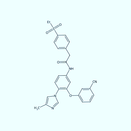 CCS(=O)(=O)c1ccc(CC(=O)Nc2ccc(-n3cnc(C)c3)c(Oc3cccc(C#N)c3)c2)cc1